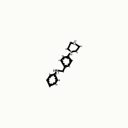 c1ccc(NCc2ccc(N3CCOCC3)cc2)cc1